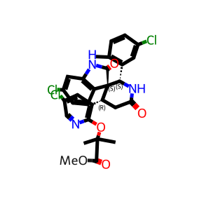 COC(=O)C(C)(C)Oc1ncc(Cl)cc1[C@H]1CC(=O)N[C@@H](c2cc(Cl)ccc2C)[C@]12C(=O)Nc1cc(Cl)ccc12